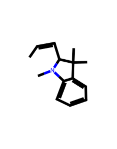 C/C=C\C1N(C)c2ccccc2C1(C)C